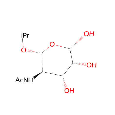 CC(=O)N[C@H]1[C@H](OC(C)C)O[C@H](O)[C@H](O)[C@@H]1O